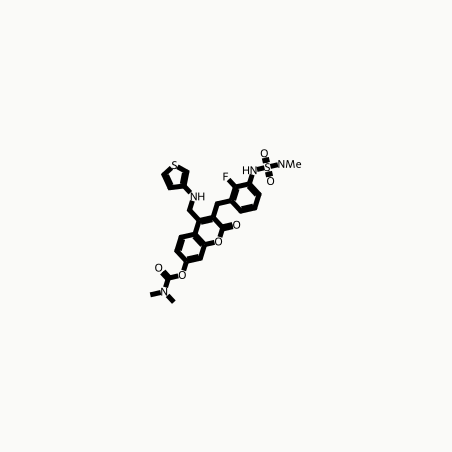 CNS(=O)(=O)Nc1cccc(Cc2c(CNc3ccsc3)c3ccc(OC(=O)N(C)C)cc3oc2=O)c1F